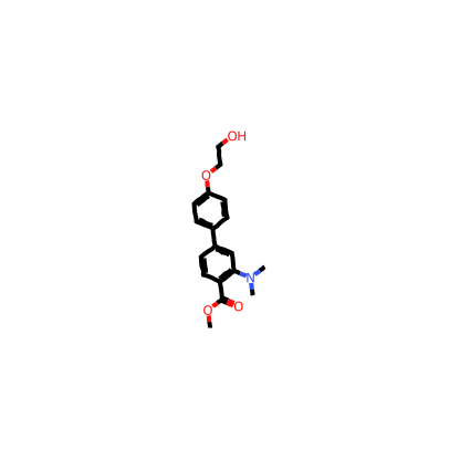 COC(=O)c1ccc(-c2ccc(OCCO)cc2)cc1N(C)C